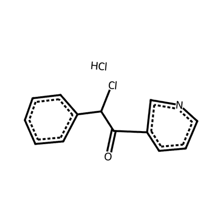 Cl.O=C(c1cccnc1)C(Cl)c1ccccc1